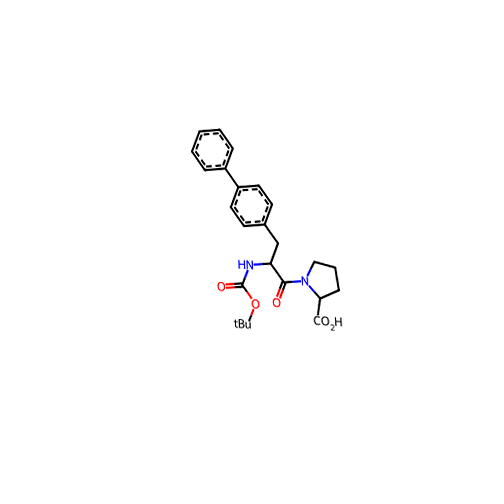 CC(C)(C)OC(=O)NC(Cc1ccc(-c2ccccc2)cc1)C(=O)N1CCCC1C(=O)O